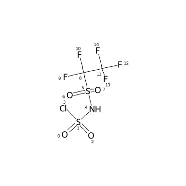 O=S(=O)(Cl)NS(=O)(=O)C(F)(F)C(F)(F)F